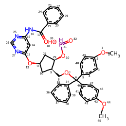 COc1ccc(C(OC[C@H]2C[C@@H](Oc3cc(NC(=O)c4ccccc4)ncn3)C[C@H]2O[PH](=O)O)(c2ccccc2)c2ccc(OC)cc2)cc1